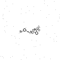 CO/N=C(/C(=O)OC(C)C)c1ccccc1CO/N=C(\C)C#Cc1cccc(Br)c1